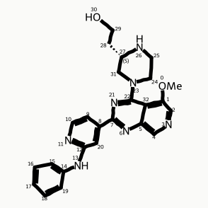 COc1cncc2nc(-c3ccnc(Nc4ccccc4)c3)nc(N3CCN[C@@H](CCO)C3)c12